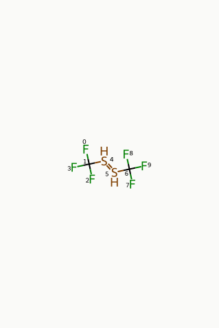 FC(F)(F)[SH]=[SH]C(F)(F)F